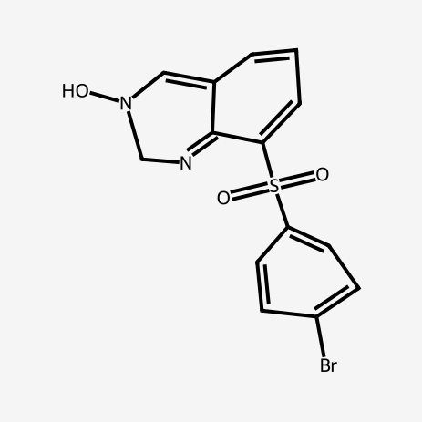 O=S(=O)(c1ccc(Br)cc1)c1cccc2c1=NCN(O)C=2